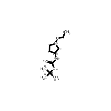 CCON1CC[C@H](NC(=O)OC(C)(C)C)C1